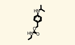 CCNC(=O)OCc1ccc(NC(C)C)cc1